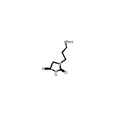 CCCCCCCCN1CC(=O)NC1=O